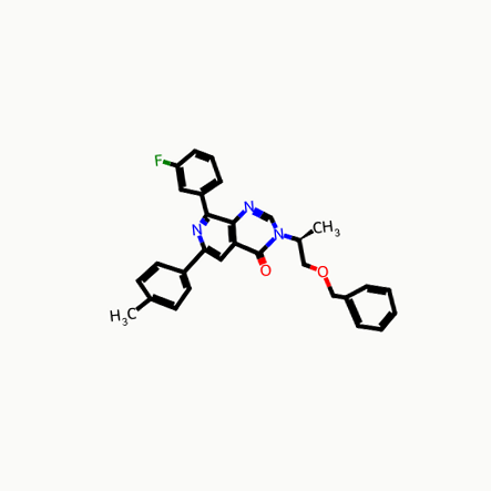 Cc1ccc(-c2cc3c(=O)n([C@@H](C)COCc4ccccc4)cnc3c(-c3cccc(F)c3)n2)cc1